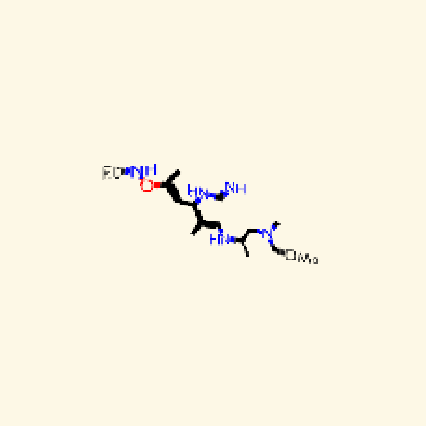 CCNO/C(C)=C/C(NC=N)/C(C)=C/N[C@H](C)CN(C)COC